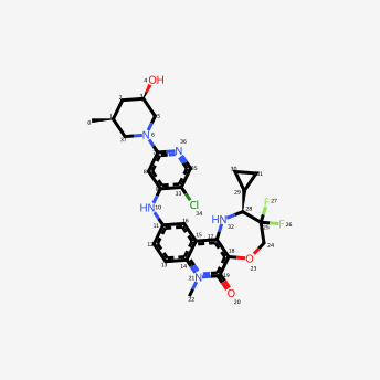 C[C@H]1C[C@@H](O)CN(c2cc(Nc3ccc4c(c3)c3c(c(=O)n4C)OCC(F)(F)[C@H](C4CC4)N3)c(Cl)cn2)C1